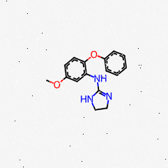 COc1ccc(Oc2ccccc2)c(NC2=NCCN2)c1